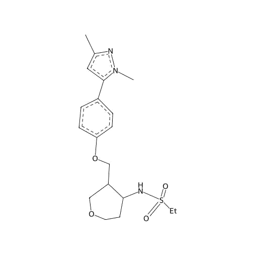 CCS(=O)(=O)NC1CCOCC1COc1ccc(-c2cc(C)nn2C)cc1